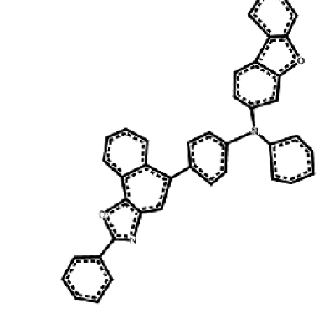 c1ccc(-c2nc3cc(-c4ccc(N(c5ccccc5)c5ccc6c(c5)oc5ccccc56)cc4)c4ccccc4c3o2)cc1